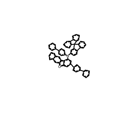 c1ccc(-c2ccc(-c3cc(N(c4ccc(-c5ccccc5)cc4)c4ccc5c(c4)C4(c6ccccc6-c6ccccc64)c4ccccc4-5)c4c(c3)oc3cc5ccccc5cc34)cc2)cc1